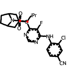 CC(C)CS(=O)(=O)N1C2CCC1CC(Oc1ncnc(Nc3ccc(C#N)cc3Cl)c1F)C2